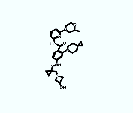 CC1CN(c2cccc(NC(=O)c3ccc(NSC4(CN5CC(O)C5)CC4)cc3N3CCC4(CC3)CC4)n2)CCO1